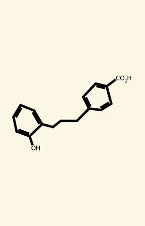 O=C(O)c1ccc(CCCc2ccccc2O)cc1